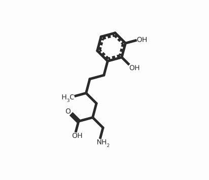 CC(CCc1cccc(O)c1O)CC(CN)C(=O)O